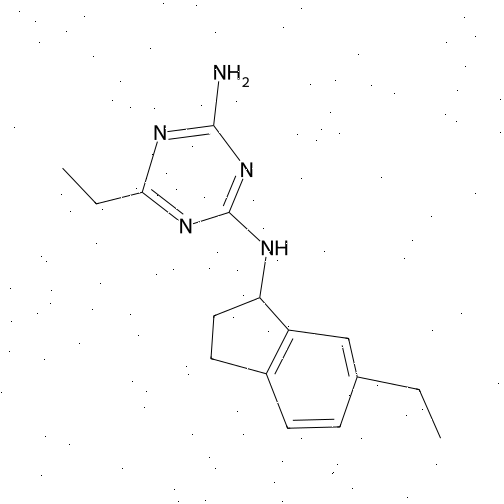 CCc1ccc2c(c1)C(Nc1nc(N)nc(CC)n1)CC2